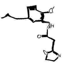 CCCc1ccc(Cl)c(NC(=O)CC2=NCCO2)c1